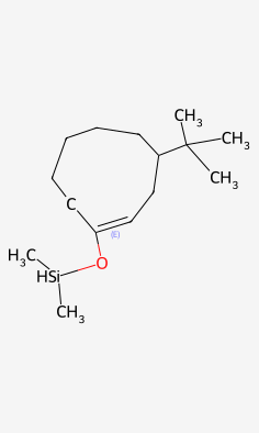 C[SiH](C)O/C1=C/CC(C(C)(C)C)CCCCC1